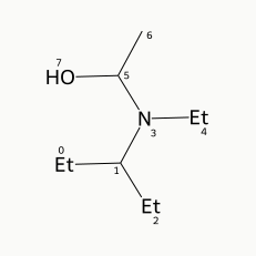 CCC(CC)N(CC)C(C)O